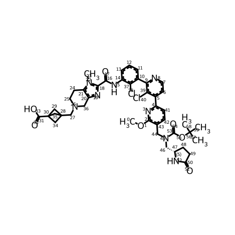 COc1nc(-c2ccnc(-c3cccc(NC(=O)c4nc5c(n4C)CCN(CC46CC(C(=O)O)(C4)C6)C5)c3Cl)c2Cl)ccc1CN(C[C@@H]1CCC(=O)N1)C(=O)OC(C)(C)C